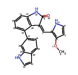 COc1cc[nH]c1C=C1C(=O)Nc2cccc(-c3ccc4cc[nH]c4c3)c21